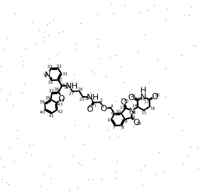 O=C(COCc1cccc2c1C(=O)N(C1CCC(=O)NC1=O)C2=O)NCCCNC(c1cccnc1)c1cc2ccccc2o1